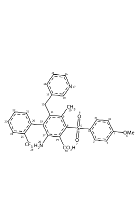 COc1ccc(S(=O)(=O)c2c(C)c(Cc3cccnc3)c(-c3ccccc3C(F)(F)F)c(N)c2C(=O)O)cc1